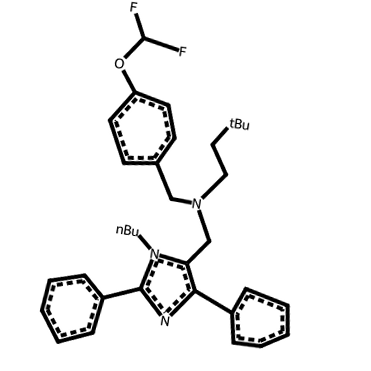 CCCCn1c(-c2ccccc2)nc(-c2ccccc2)c1CN(CCC(C)(C)C)Cc1ccc(OC(F)F)cc1